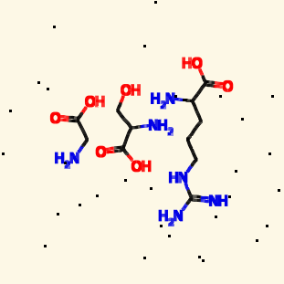 N=C(N)NCCCC(N)C(=O)O.NC(CO)C(=O)O.NCC(=O)O